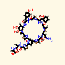 C=C(NC(=O)C(=C)NC(=O)c1csc(-c2ccc3c([n+]2[O-])-c2csc(n2)-c2csc(n2)C(C(C)C(O)CO)NC(=O)C(Cc2ccc(O)cc2)NC(=O)c2csc(n2)C(C(O)c2ccccc2)NC(=O)c2nc(sc2C)C(CC(N)=O)NC(=O)c2csc-3n2)n1)C(=O)O